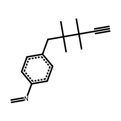 C#CC(C)(C)C(C)(C)Cc1ccc(N=C)cc1